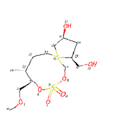 COC[C@@H]1OS(=O)(=O)OCS2(CC[C@H]1C)C[C@@H](O)C[C@H]2CO